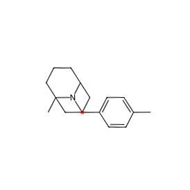 Cc1ccc(CN2C3CCCC2(C)CCC3)cc1